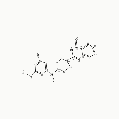 CCOc1cc(Br)cc(C(=O)N2CCN(c3nc4ccccc4c(=O)[nH]3)CC2)c1